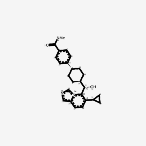 CNC(=O)c1ccc([C@H]2CC[C@H]([C@H](O)c3c(C4CC4)ccc4cncn34)CC2)cc1